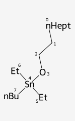 CCCCCCCCC[O][Sn]([CH2]C)([CH2]C)[CH2]CCC